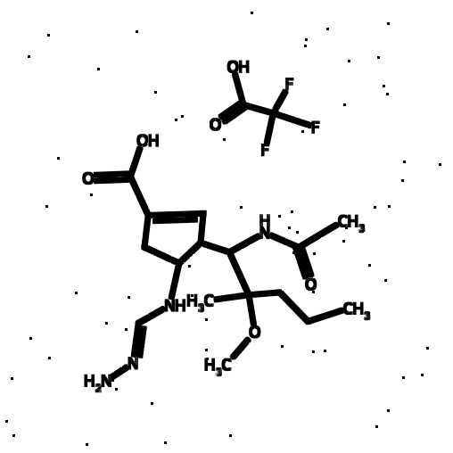 CCCC(C)(OC)C(NC(C)=O)C1C=C(C(=O)O)CC1NC=NN.O=C(O)C(F)(F)F